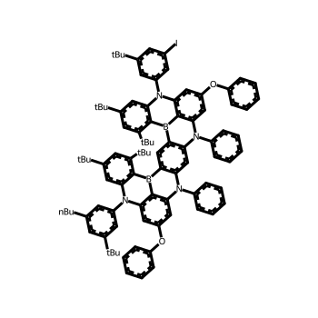 CCCCc1cc(N2c3cc(Oc4ccccc4)cc4c3B(c3cc5c(cc3N4c3ccccc3)N(c3ccccc3)c3cc(Oc4ccccc4)cc4c3B5c3c(cc(C(C)(C)C)cc3C(C)(C)C)N4c3cc(I)cc(C(C)(C)C)c3)c3c2cc(C(C)(C)C)cc3C(C)(C)C)cc(C(C)(C)C)c1